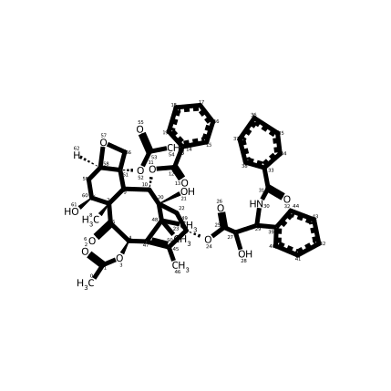 CC(=O)O[C@H]1C(=O)[C@@]2(C)C([C@H](OC(=O)c3ccccc3)[C@]3(O)C[C@H](OC(=O)C(O)C(NC(=O)c4ccccc4)c4ccccc4)C(C)=C1C3(C)C)[C@]1(OC(C)=O)CO[C@@H]1C[C@@H]2O